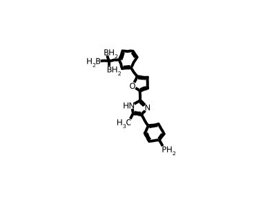 BC(B)(B)c1cccc(-c2ccc(-c3nc(-c4ccc(P)cc4)c(C)[nH]3)o2)c1